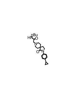 CCCCNC(=O)CN1CCC2(CC1)CCN(c1ccc(C3CC3)cc1)C2=O